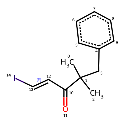 CC(C)(Cc1ccccc1)C(=O)/C=C/I